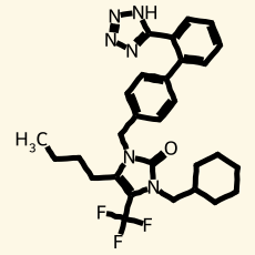 CCCCc1c(C(F)(F)F)n(CC2CCCCC2)c(=O)n1Cc1ccc(-c2ccccc2-c2nnn[nH]2)cc1